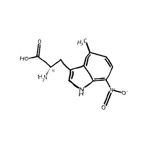 Cc1ccc([N+](=O)[O-])c2[nH]cc(C[C@H](N)C(=O)O)c12